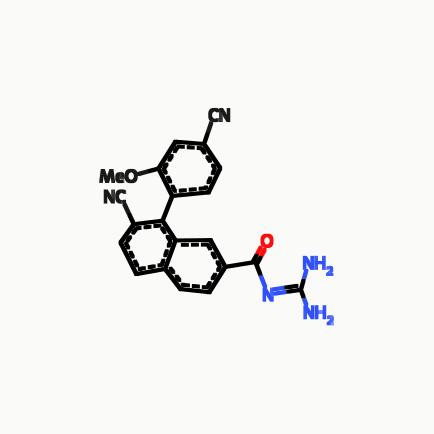 COc1cc(C#N)ccc1-c1c(C#N)ccc2ccc(C(=O)N=C(N)N)cc12